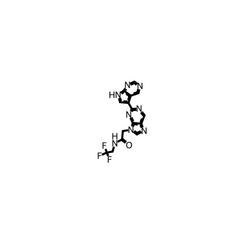 O=C(Cn1cnc2cnc(-c3c[nH]c4ncncc34)nc21)NCC(F)(F)F